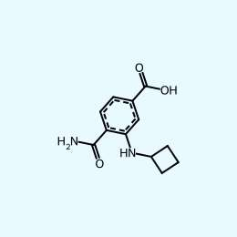 NC(=O)c1ccc(C(=O)O)cc1NC1CCC1